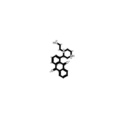 O=C1c2ccccc2C(=O)c2c1cccc2C1CNCCN1CCO